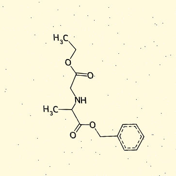 CCOC(=O)CNC(C)C(=O)OCc1ccccc1